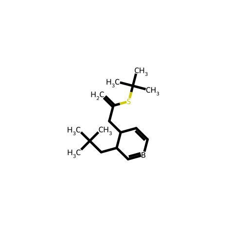 C=C(CC1C=CB=CC1CC(C)(C)C)SC(C)(C)C